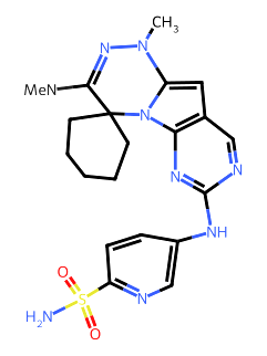 CNC1=NN(C)c2cc3cnc(Nc4ccc(S(N)(=O)=O)nc4)nc3n2C12CCCCC2